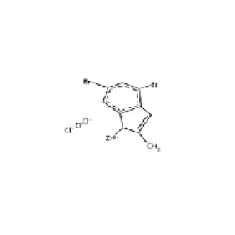 CC1=Cc2c(Br)cc(Br)cc2[CH]1[Zr+3].[Cl-].[Cl-].[Cl-]